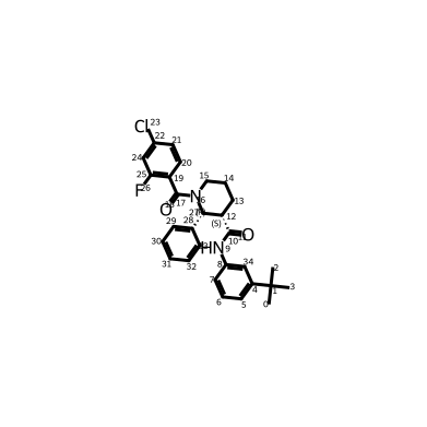 CC(C)(C)c1cccc(NC(=O)[C@H]2CCCN(C(=O)c3ccc(Cl)cc3F)[C@H]2c2ccccc2)c1